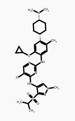 Cc1cc(Nc2ncc(Cl)c(Nc3cn(C)nc3S(=O)(=O)C(C)C)n2)c(OC2CC2)cc1[C@H]1CC[C@@H](N(C)C)CC1